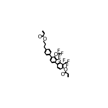 C=CC(=O)OCCCc1ccc(-c2ccc3c(sc4c(C(F)(F)F)c(OC(=O)C=C)ccc43)c2OC(F)(F)F)cc1